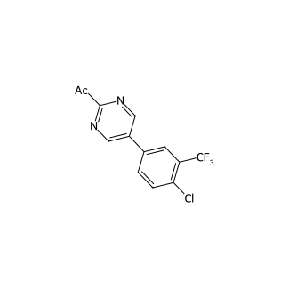 CC(=O)c1ncc(-c2ccc(Cl)c(C(F)(F)F)c2)cn1